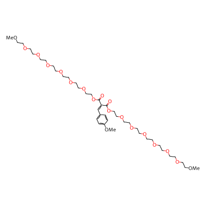 COCCOCCOCCOCCOCCOCCOCCOC(=O)C(=Cc1ccc(OC)cc1)C(=O)OCCOCCOCCOCCOCCOCCOCCOC